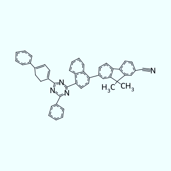 CC1(C)c2cc(C#N)ccc2-c2ccc(-c3ccc(-c4nc(C5=CC=C(c6ccccc6)CC5)nc(-c5ccccc5)n4)c4ccccc34)cc21